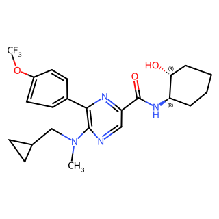 CN(CC1CC1)c1ncc(C(=O)N[C@@H]2CCCC[C@H]2O)nc1-c1ccc(OC(F)(F)F)cc1